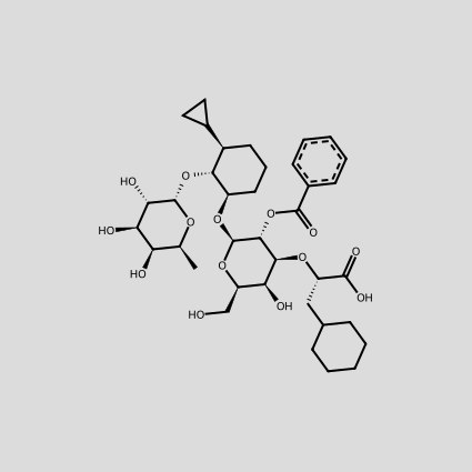 C[C@@H]1O[C@@H](O[C@@H]2[C@@H](C3CC3)CCC[C@H]2O[C@@H]2O[C@H](CO)[C@H](O)[C@H](O[C@@H](CC3CCCCC3)C(=O)O)[C@H]2OC(=O)c2ccccc2)[C@@H](O)[C@H](O)[C@@H]1O